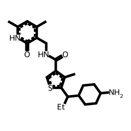 CCC(c1scc(C(=O)NCc2c(C)cc(C)[nH]c2=O)c1C)C1CCC(N)CC1